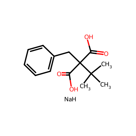 CC(C)(C)C(Cc1ccccc1)(C(=O)O)C(=O)O.[NaH]